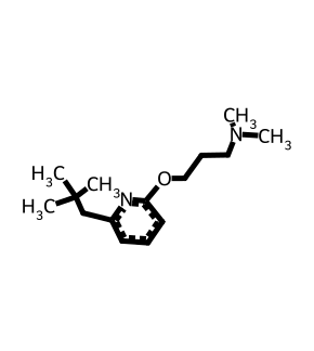 CN(C)CCCOc1cccc(CC(C)(C)C)n1